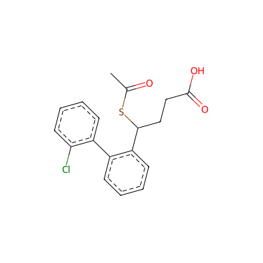 CC(=O)SC(CCC(=O)O)c1ccccc1-c1ccccc1Cl